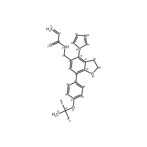 C=CC(=O)NCc1cc(-c2ccc(OC(C)(F)F)cc2)c2c(c1-n1ccnc1)CCO2